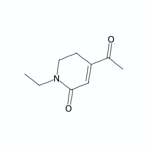 CCN1CCC(C(C)=O)=CC1=O